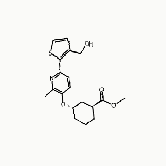 COC(=O)[C@H]1CCC[C@H](Oc2ccc(-c3sccc3CO)nc2C)C1